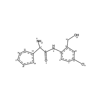 NC(C(=O)Nc1ccc(Cl)cc1CO)c1ccccc1